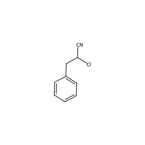 N#CC(Cl)Cc1ccccc1